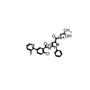 C[C@@H](O)CNC(=O)c1cc(NC(=O)c2cc(-c3ncccc3F)ccc2Cl)n(-c2ccccc2)n1